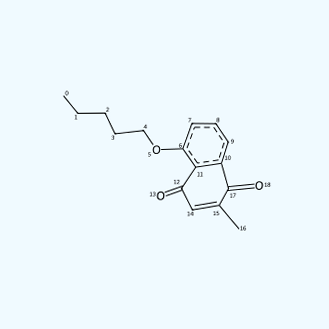 CCCCCOc1cccc2c1C(=O)C=C(C)C2=O